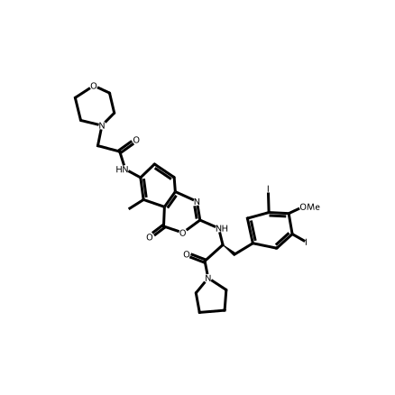 COc1c(I)cc(C[C@H](Nc2nc3ccc(NC(=O)CN4CCOCC4)c(C)c3c(=O)o2)C(=O)N2CCCC2)cc1I